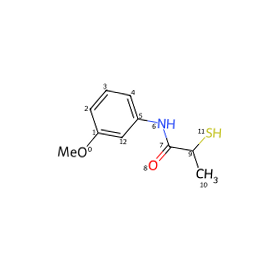 COc1cccc(NC(=O)C(C)S)c1